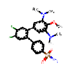 COc1c(N(C)C)cc(-c2cc(F)c(F)cc2-c2ccc(S(N)(=O)=O)cc2)cc1N(C)C